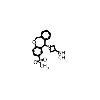 CNC1CN(C2c3ccccc3COc3ccc(S(C)(=O)=O)cc32)C1